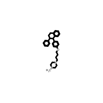 CN1CCN(CCCCOc2ccc(C3c4ccccc4CCC3c3ccccc3)cc2)CC1